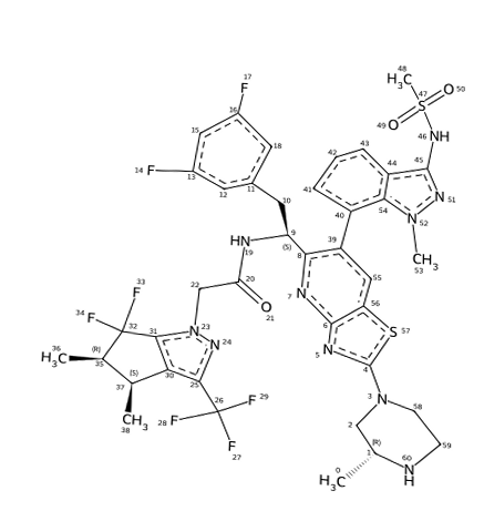 C[C@@H]1CN(c2nc3nc([C@H](Cc4cc(F)cc(F)c4)NC(=O)Cn4nc(C(F)(F)F)c5c4C(F)(F)[C@H](C)[C@@H]5C)c(-c4cccc5c(NS(C)(=O)=O)nn(C)c45)cc3s2)CCN1